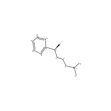 CN(C)CCC[C@H](I)c1cccnc1